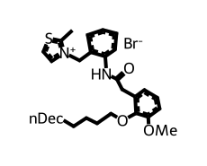 CCCCCCCCCCCCCCOc1c(CC(=O)Nc2ccccc2C[n+]2ccsc2C)cccc1OC.[Br-]